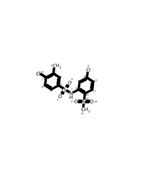 Cc1cc(S(=O)(=O)Nc2cc(Cl)ccc2S(C)(=O)=O)ccc1Cl